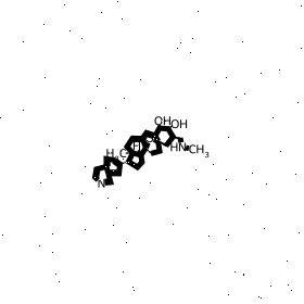 CNC[C@H]1C[C@@]23CC[C@@]4(O2)C(=CC[C@]2(C)[C@@H](c5ccc6ccncc6c5)CC[C@H]24)C=C3[C@@H](O)[C@@H]1O